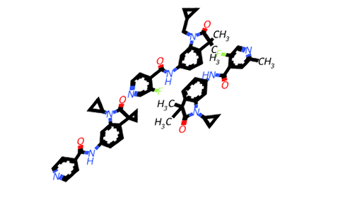 CC1(C)C(=O)N(CC2CC2)c2cc(NC(=O)c3ccncc3F)ccc21.Cc1cc(C(=O)Nc2ccc3c(c2)N(C2CC2)C(=O)C3(C)C)c(F)cn1.O=C(Nc1ccc2c(c1)N(C1CC1)C(=O)C21CC1)c1ccncc1